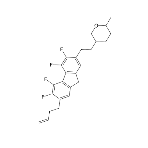 C=CCCc1cc2c(c(F)c1F)-c1c(cc(CCC3CCC(C)OC3)c(F)c1F)C2